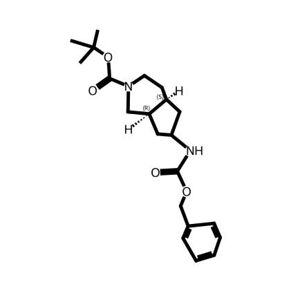 CC(C)(C)OC(=O)N1CC[C@H]2CC(NC(=O)OCc3ccccc3)C[C@H]2C1